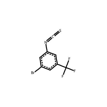 FC(F)(F)c1cc(Br)cc(N=C=S)c1